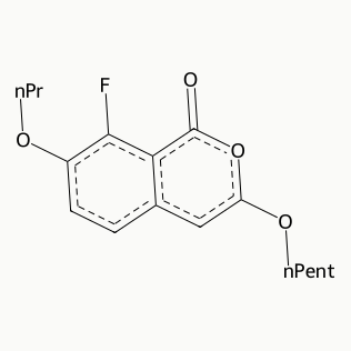 CCCCCOc1cc2ccc(OCCC)c(F)c2c(=O)o1